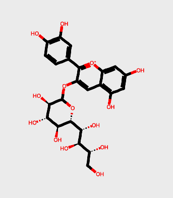 OC[C@@H](O)[C@@H](O)[C@@H](O)[C@H]1OC(Oc2cc3c(O)cc(O)cc3[o+]c2-c2ccc(O)c(O)c2)[C@H](O)[C@@H](O)[C@@H]1O